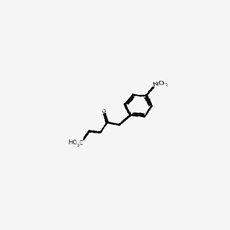 O=C(O)CCC(=O)Cc1ccc([N+](=O)[O-])cc1